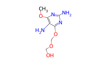 COc1nc(N)nc(OCOCO)c1N